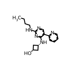 CCCCNc1ncc(-c2ccccn2)c(N[C@H]2C[C@H](O)C2)n1